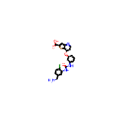 NCc1ccc(F)c(NC(=O)Nc2cccc(Oc3ccnc4cc(C(=O)O)sc34)c2)c1